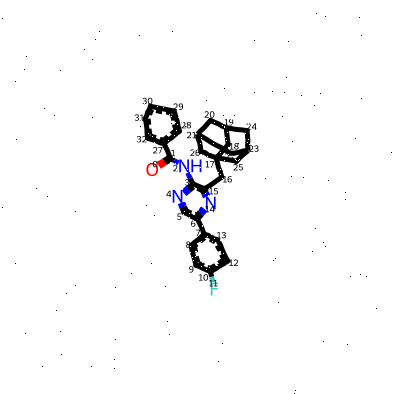 O=C(Nc1ncc(-c2ccc(F)cc2)nc1CC12CC3CC(CC(C3)C1)C2)c1ccccc1